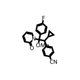 COC(c1ccc(F)cc1)(C(c1ccc(C#N)cc1)C1CC1)n1ccccc1=O